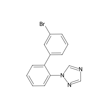 Brc1cccc(-c2ccccc2-n2cncn2)c1